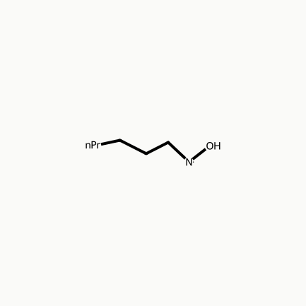 [CH2]CCCCC[N]O